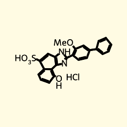 COc1cc(-c2ccccc2)ccc1-c1nc2c(cc(S(=O)(=O)O)c3cccc(O)c32)[nH]1.Cl